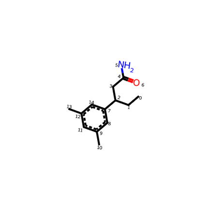 CCC(CC(N)=O)c1cc(C)cc(C)c1